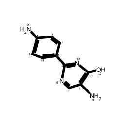 Nc1ccc(-c2ncc(N)c(O)n2)cc1